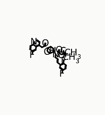 CC(C)(C)OC(=O)N(C/C=C/c1cc(F)ccc1F)[C@@H]1CC[C@@H](C(=O)Cc2ccnc3ccc(F)cc23)OC1